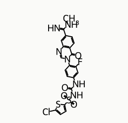 CNC(=N)c1ccc2c(=O)n(-c3ccc(NC(=O)NS(=O)(=O)c4ccc(Cl)s4)cc3F)cnc2c1